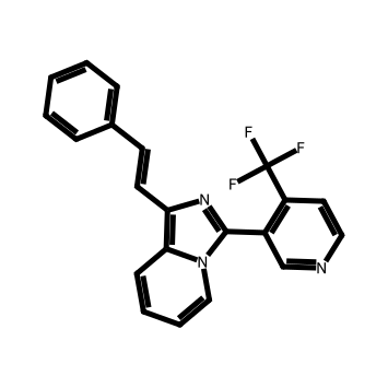 FC(F)(F)c1ccncc1-c1nc(/C=C/c2ccccc2)c2ccccn12